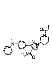 C=CC(=O)N1CCCC(n2cc(C(N)=O)c(-c3ccc(N(C)c4ccccc4)cc3)n2)C1